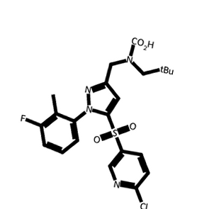 Cc1c(F)cccc1-n1nc(CN(CC(C)(C)C)C(=O)O)cc1S(=O)(=O)c1ccc(Cl)nc1